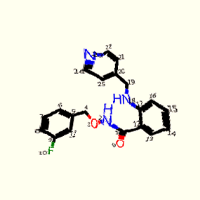 O=C(NOCc1cccc(F)c1)c1ccccc1NCc1ccncc1